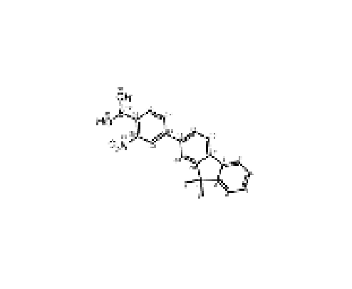 CC1(C)c2ccccc2-c2ccc(-c3ccc(B(O)O)c([N+](=O)[O-])c3)cc21